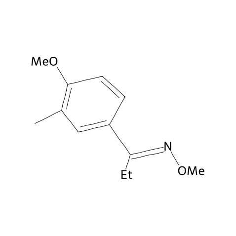 [CH]Oc1ccc(C(CC)=NOC)cc1C